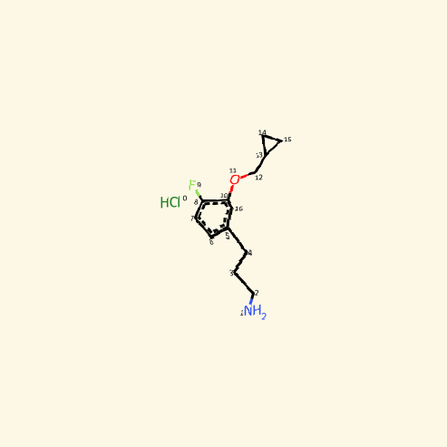 Cl.NCCCc1ccc(F)c(OCC2CC2)c1